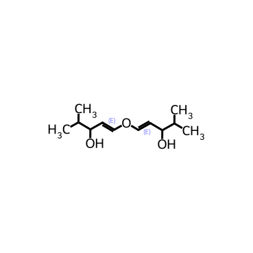 CC(C)C(O)/C=C/O/C=C/C(O)C(C)C